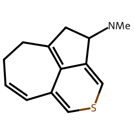 CNC1CC2=C3C(=CSC=C31)C=CCC2